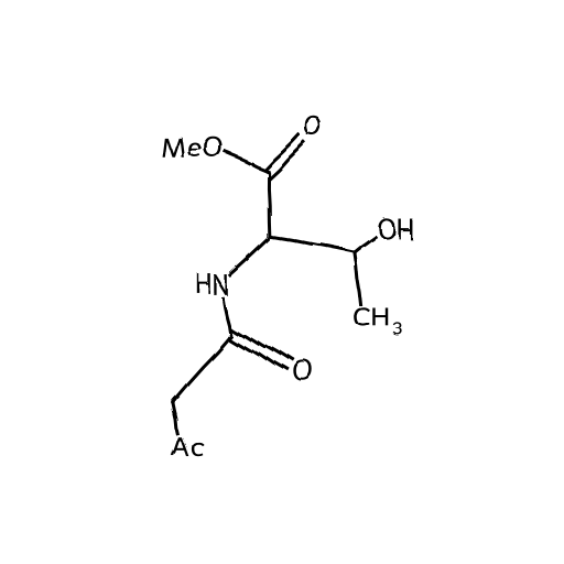 COC(=O)C(NC(=O)CC(C)=O)C(C)O